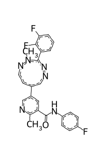 Cc1ncc(-c2ccnn(C)c(-c3cccc(F)c3F)nnc2)cc1C(=O)Nc1ccc(F)cc1